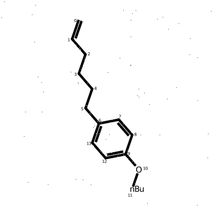 C=CCCCCc1ccc(OCCCC)cc1